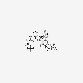 CN(CC(F)(F)F)C(=O)C(=O)N(C)c1cccc(C(=O)Nc2c(I)cc(C(F)(C(F)(F)F)C(F)(F)C(F)(F)F)cc2S(=O)(=O)C(F)(F)F)c1F